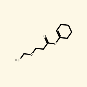 CCOCCC(=O)OC1=CCCCC1